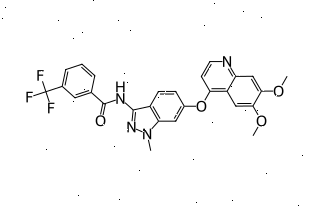 COc1cc2nccc(Oc3ccc4c(NC(=O)c5cccc(C(F)(F)F)c5)nn(C)c4c3)c2cc1OC